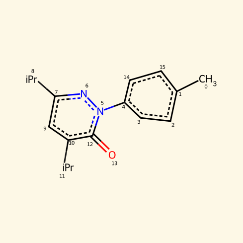 Cc1ccc(-n2nc(C(C)C)cc(C(C)C)c2=O)cc1